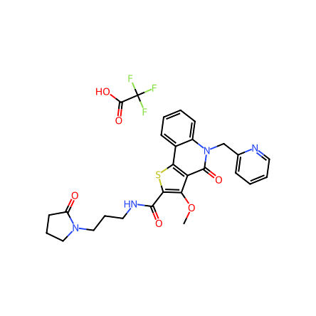 COc1c(C(=O)NCCCN2CCCC2=O)sc2c1c(=O)n(Cc1ccccn1)c1ccccc21.O=C(O)C(F)(F)F